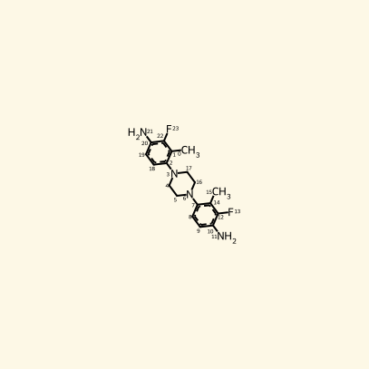 Cc1c(N2CCN(c3ccc(N)c(F)c3C)CC2)ccc(N)c1F